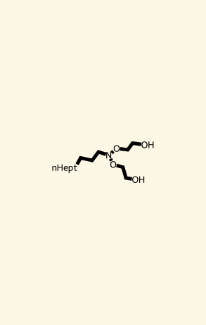 CCCCCCCCCCN(OCCO)OCCO